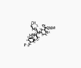 C\C=C/N=C(\C(=C\CC)Nc1ccc(C(F)(F)F)cc1)N1CCNC(C(=O)OC)C1